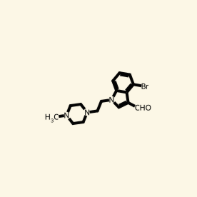 CN1CCN(CCn2cc(C=O)c3c(Br)cccc32)CC1